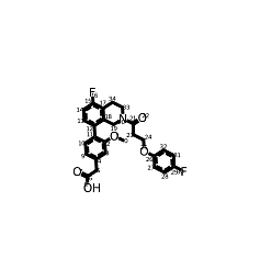 COc1cc(CC(=O)O)ccc1-c1ccc(F)c2c1CN(C(=O)CCOc1ccc(F)cc1)CC2